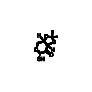 CC1(C)O[C@H]2CO[C@@H](O)C(=O)[C@H]2O1